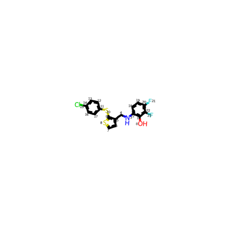 Oc1c(NCc2ccsc2Sc2ccc(Cl)cc2)ccc(F)c1F